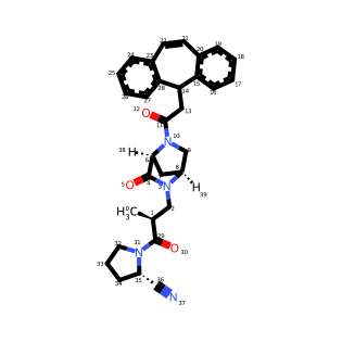 C[C@@H](CN1C(=O)[C@@H]2C[C@H]1CN2C(=O)CC1c2ccccc2C=Cc2ccccc21)C(=O)N1CCC[C@H]1C#N